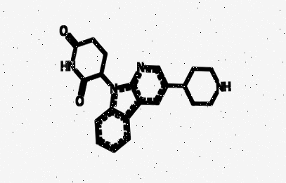 O=C1CCC(n2c3ccccc3c3cc(C4CCNCC4)cnc32)C(=O)N1